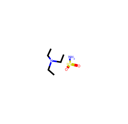 CCN(CC)CC.N[SH](=O)=O